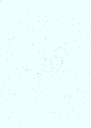 COC(=O)C=Cc1ccc2ccccc2c1[N+](=O)[O-]